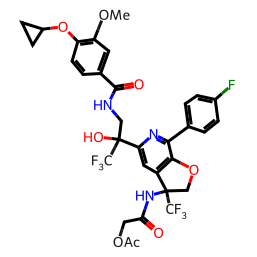 COc1cc(C(=O)NCC(O)(c2cc3c(c(-c4ccc(F)cc4)n2)OCC3(NC(=O)COC(C)=O)C(F)(F)F)C(F)(F)F)ccc1OC1CC1